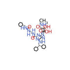 CCNC(=O)[C@H]1O[C@@H](n2cnc3c(NCC(c4ccccc4)c4ccccc4)nc(C(=O)NCCNC(=O)NCc4ccccc4)nc32)[C@H](O)[C@@H]1O